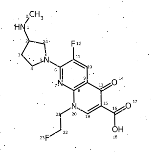 CNC1CCN(c2nc3c(cc2F)c(=O)c(C(=O)O)cn3CCF)C1